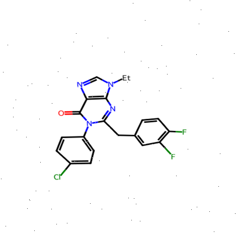 CCn1cnc2c(=O)n(-c3ccc(Cl)cc3)c(Cc3ccc(F)c(F)c3)nc21